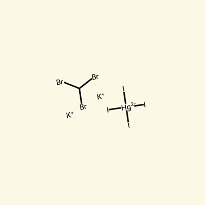 BrC(Br)Br.[I][Hg-2]([I])([I])[I].[K+].[K+]